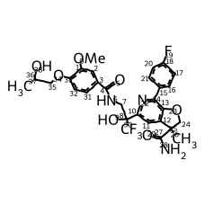 COc1cc(C(=O)NCC(O)(c2cc3c(c(-c4ccc(F)cc4)n2)OC[C@]3(C)C(N)=O)C(F)(F)F)ccc1OC[C@H](C)O